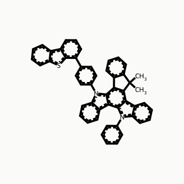 CC1(C)c2ccccc2-c2c1c1c3ccccc3n(-c3ccccc3)c1c1c3ccccc3n(-c3ccc(-c4cccc5c4sc4ccccc45)cc3)c21